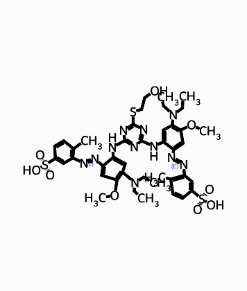 CCN(CC)c1cc(Nc2nc(Nc3cc(N(CC)CC)c(OC)cc3/N=N/c3cc(S(=O)(=O)O)ccc3C)nc(SCCO)n2)c(/N=N/c2cc(S(=O)(=O)O)ccc2C)cc1OC